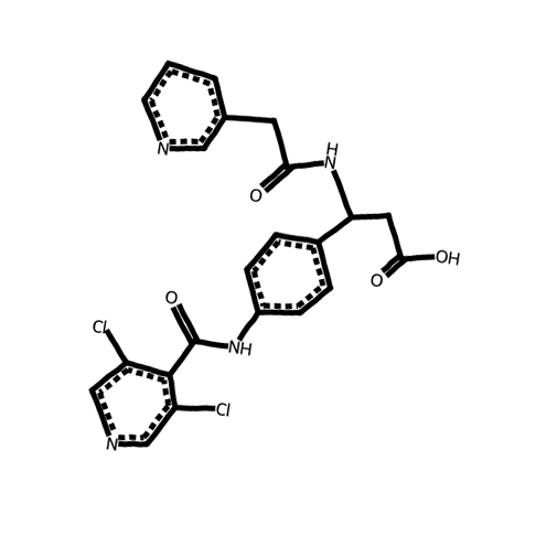 O=C(O)CC(NC(=O)Cc1cccnc1)c1ccc(NC(=O)c2c(Cl)cncc2Cl)cc1